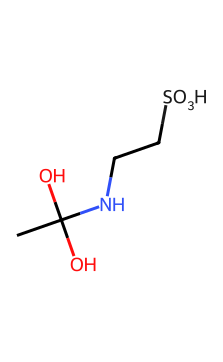 CC(O)(O)NCCS(=O)(=O)O